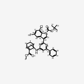 COC(=O)C1C2CCC(CC2)C1Nc1cc(-c2ccccc2)nc(-c2cn(C(=O)OC(C)(C)C)c3c(Cl)cc(F)cc23)n1